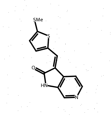 CSc1ccc(C=C2C(=O)Nc3cnccc32)s1